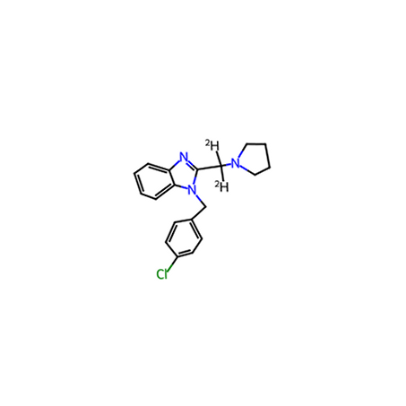 [2H]C([2H])(c1nc2ccccc2n1Cc1ccc(Cl)cc1)N1CCCC1